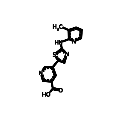 Cc1cccnc1Nc1ncc(-c2cncc(C(=O)O)c2)s1